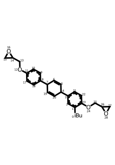 CCC(C)c1cc(C2C=CC(c3ccc(OCC4CO4)cc3)C=C2)ccc1OCC1CO1